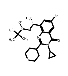 C[C@@H](N[S@+]([O-])C(C)(C)C)c1cc(Br)cc2c(=O)n(C3CC3)c(C3CCOCC3)nc12